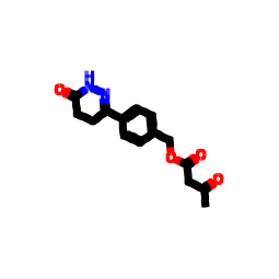 CC(=O)CC(=O)OCc1ccc(C2=NNC(=O)CC2)cc1